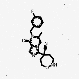 Cc1cn2c(C3(C#N)CCNOCC3)ncc2c(=O)n1Cc1cccc(F)c1